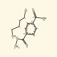 CCCCCCl.COC(=O)c1ccc(C(=O)O)cc1